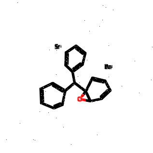 C1=CC2OC2(C(c2ccccc2)c2ccccc2)C=C1.[Ba].[Sr]